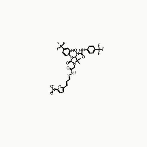 CC1(C)C(N(O)C(=O)Nc2ccc(C(F)(F)F)cc2)N(c2ccc(C(F)(F)F)cc2)C(=O)N1CC(=O)N/N=C/C=C/c1ccc([N+](=O)[O-])o1